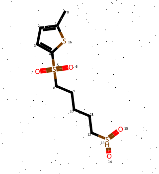 Cc1ccc(S(=O)(=O)CCCCC[SH](=O)=O)s1